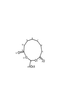 CCCCCCCCC1OC(=O)CCCCCCC(=O)O1